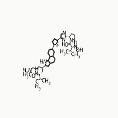 CON[C@H](CC(CCCN)c1cc2ccc3cc(-c4ccc(-c5cnc([C@@H]6CCCN6C(=O)[C@@H](NO)C(C)C)[nH]5)s4)ccc3c2[nH]1)C(C)C